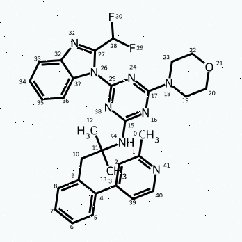 Cc1cc(-c2ccccc2CC(C)(C)Nc2nc(N3CCOCC3)nc(-n3c(C(F)F)nc4ccccc43)n2)ccn1